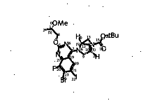 CO[C@@H](C)COc1nc(N2C[C@@H]3C[C@H]2CN3C(=O)OC(C)(C)C)c2cc(I)c(Br)c(F)c2n1